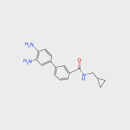 Nc1ccc(-c2cccc(C(=O)NCC3CC3)c2)cc1N